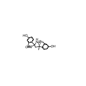 CC(C)(C)c1cc(O)ccc1C1(C=O)CC(C)(c2ccc(O)cc2C(C)(C)C)ON1